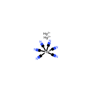 N#[C][Fe-4]([C]#N)([C]#N)([C]#N)([C]#N)[C]#N.[Hg+2].[Hg+2]